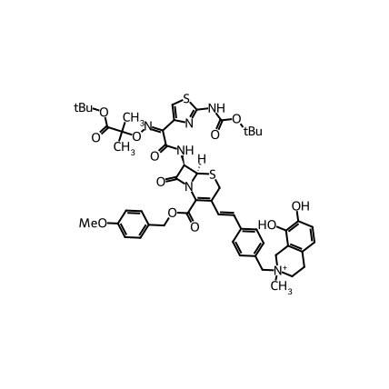 COc1ccc(COC(=O)C2=C(/C=C/c3ccc(C[N+]4(C)CCc5ccc(O)c(O)c5C4)cc3)CS[C@@H]3[C@H](NC(=O)/C(=N\OC(C)(C)C(=O)OC(C)(C)C)c4csc(NC(=O)OC(C)(C)C)n4)C(=O)N23)cc1